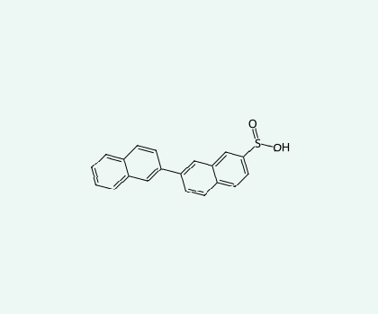 O=S(O)c1ccc2ccc(-c3ccc4ccccc4c3)cc2c1